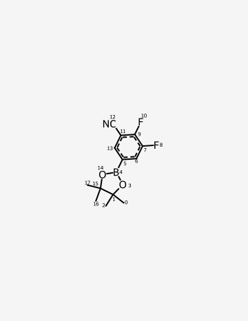 CC1(C)OB(c2cc(F)c(F)c(C#N)c2)OC1(C)C